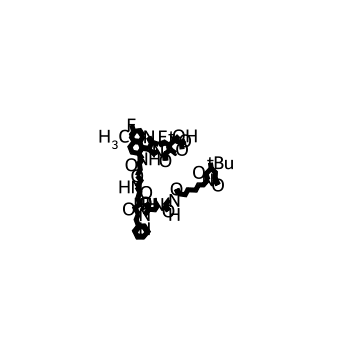 CC[C@@]1(O)C(=O)OCc2c1cc1n(c2=O)Cc2c-1nc1cc(F)c(C)c3c1c2C(NC(=O)COCNC(=O)CNC(=O)C(Cc1ccccc1)NC(=O)CNC(=O)CNC(=O)CCCCCN1C(=O)CC(C(C)(C)C)C1=O)CC3